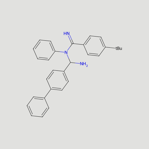 CC(C)(C)c1ccc(C(=N)N(c2ccccc2)C(N)c2ccc(-c3ccccc3)cc2)cc1